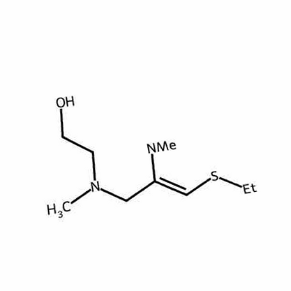 CCS/C=C(/CN(C)CCO)NC